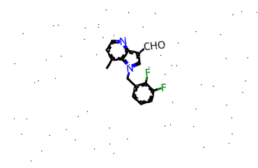 Cc1ccnc2c(C=O)cn(Cc3cccc(F)c3F)c12